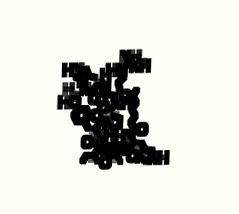 CC[C@H](C)[C@H](NC(=O)[C@H](C)NC(=O)[C@H](Cc1c[nH]cn1)NC(=O)CCCCC(C)=O)C(=O)N[C@@H](Cc1ccc(O)cc1)C(=O)N1CCC[C@H]1C(=O)N[C@@H](CCCNC(=N)N)C(=O)N[C@@H](Cc1c[nH]cn1)C(N)=O